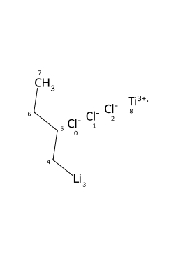 [Cl-].[Cl-].[Cl-].[Li][CH2]CCC.[Ti+3]